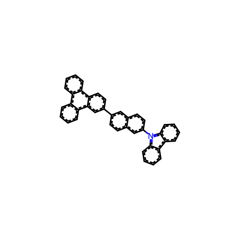 c1ccc2c(c1)c1ccccc1c1cc(-c3ccc4cc(-n5c6ccccc6c6ccccc65)ccc4c3)ccc21